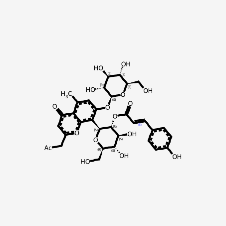 CC(=O)Cc1cc(=O)c2c(C)cc(O[C@@H]3O[C@H](CO)[C@@H](O)[C@H](O)[C@H]3O)c([C@@H]3O[C@H](CO)[C@@H](O)[C@H](O)[C@H]3OC(=O)/C=C/c3ccc(O)cc3)c2o1